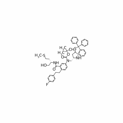 CSCC[C@@H](CO)NC(=O)c1cc(N(C[C@@H]2C[C@H](SC(c3ccccc3)(c3ccccc3)c3ccccc3)CN2)C(=O)OC(C)(C)C)ccc1CCc1ccc(F)cc1